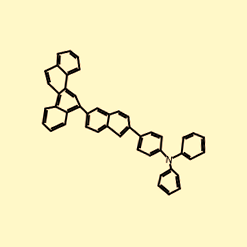 c1ccc(N(c2ccccc2)c2ccc(-c3ccc4cc(-c5cc6c7ccccc7ccc6c6ccccc56)ccc4c3)cc2)cc1